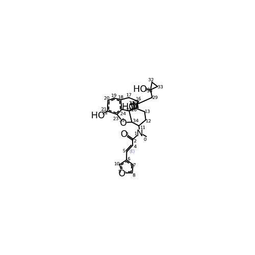 CN(C(=O)/C=C/c1ccoc1)C1CCC2(O)C3Cc4ccc(O)c5c4C2(CCN3CC2(O)CC2)C1O5